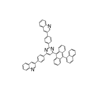 c1ccc2ncc(-c3ccc(-c4cc(-c5c6ccccc6c(-c6cccc7ccccc67)c6ccccc56)nc(-c5ccc(-c6cnc7ccccc7c6)cc5)n4)cc3)cc2c1